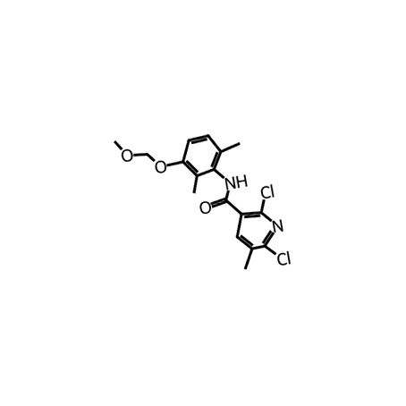 COCOc1ccc(C)c(NC(=O)c2cc(C)c(Cl)nc2Cl)c1C